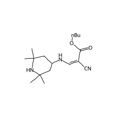 CCCCOC(=O)C(C#N)=CNC1CC(C)(C)NC(C)(C)C1